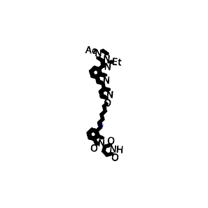 CCc1nc(-c2cccc3cc(-c4ccc(OCCCC/C=C/c5cccc6c5CN(C5CCC(=O)NC5=O)C6=O)nc4)ncc23)c2n1CCN(C(C)=O)C2